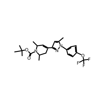 Cc1cc(C2=CC(C)N(C(=O)OC(C)(C)C)C(C)C2)nn1-c1ccc(OC(F)(F)F)cc1